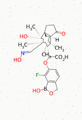 C[C@@H]1CC[C@@]23CCC(=O)[C@H]2[C@@]1(C)[C@H](C(Oc1ccc2c(c1F)B(O)OC2)C(=O)O)C[C@@](C)(C=NO)[C@@H](O)[C@@H]3C